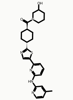 Cc1ccnc(Nc2cccc(-c3cnc([C@H]4CC[C@H](C(=O)N5CCCC(O)C5)CC4)s3)n2)c1